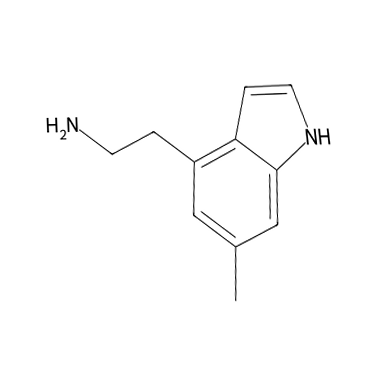 Cc1cc(CCN)c2cc[nH]c2c1